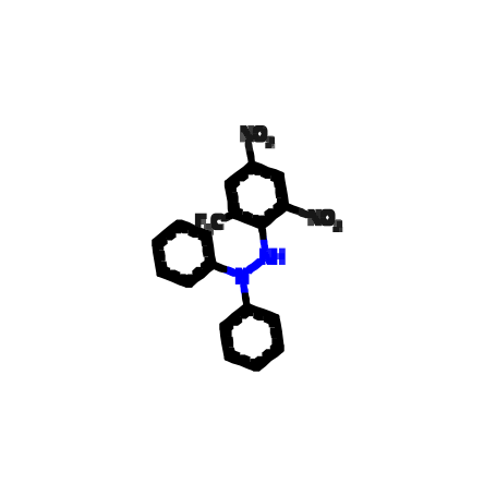 O=[N+]([O-])c1cc([N+](=O)[O-])c(NN(c2ccccc2)c2ccccc2)c(C(F)(F)F)c1